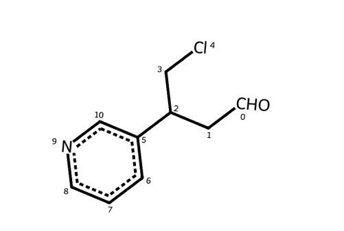 O=CCC(CCl)c1cccnc1